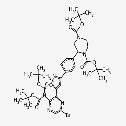 CC(C)(C)OC(=O)N1CCN(C(=O)OC(C)(C)C)C(c2ccc(-c3cc(-c4nc(Br)cnc4N(C(=O)OC(C)(C)C)C(=O)OC(C)(C)C)on3)cc2)C1